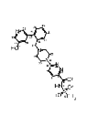 CS(=O)(=O)NC(=O)c1ccc(N2CCN(Cc3ccccc3-c3cncc(O)c3)CC2)nn1